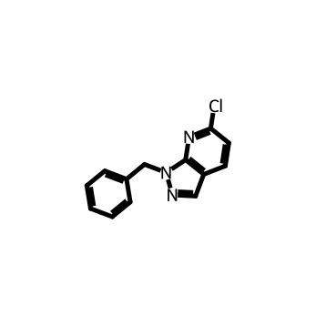 Clc1ccc2cnn(Cc3ccccc3)c2n1